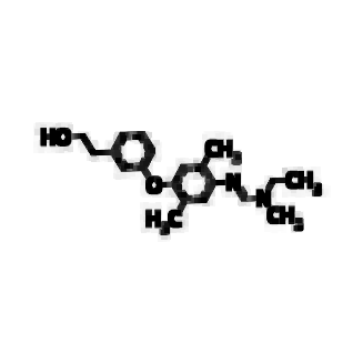 CCN(C)C=Nc1cc(C)c(Oc2cccc(CCO)c2)cc1C